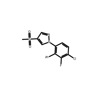 CC(C)c1c(-n2cc(S(C)(=O)=O)cn2)ccc(Cl)c1F